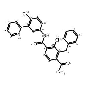 NC(=O)c1ccc(C(=O)Nc2ccc(Cl)c(-c3ccccn3)c2)c(Cl)c1Cc1ccccc1